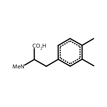 CNC(Cc1ccc(C)c(C)c1)C(=O)O